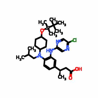 CC(C)CN(c1ccc([C@H](C)CC(=O)O)cc1Nc1cnc(Cl)cn1)C1CCC(O[Si](C)(C)C(C)(C)C)CC1